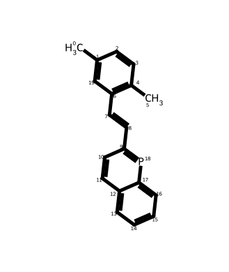 Cc1ccc(C)c(/C=C/c2ccc3ccccc3p2)c1